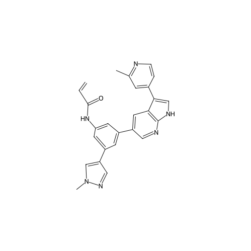 C=CC(=O)Nc1cc(-c2cnc3[nH]cc(-c4ccnc(C)c4)c3c2)cc(-c2cnn(C)c2)c1